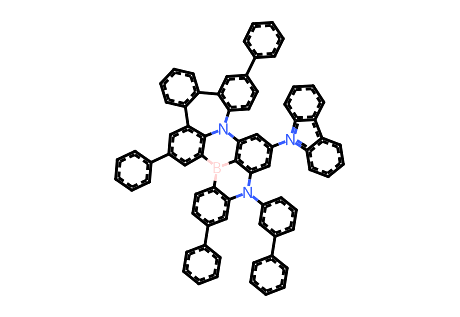 c1ccc(-c2cccc(N3c4cc(-c5ccccc5)ccc4B4c5cc(-c6ccccc6)cc6c5N(c5ccc(-c7ccccc7)cc5-c5ccccc5-6)c5cc(-n6c7ccccc7c7ccccc76)cc3c54)c2)cc1